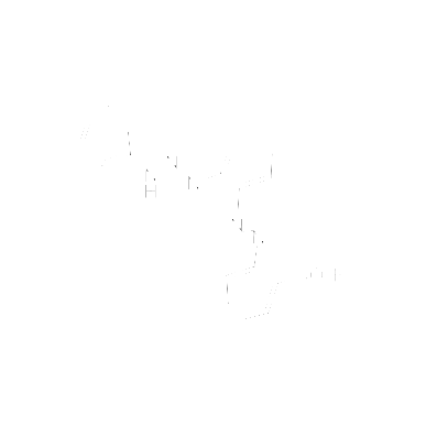 O=S(=O)(O)c1ccccc1/N=N/c1ccccc1/N=N/Nc1[c]cccc1